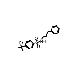 CCC(C)(C)c1ccc(S(=O)(=O)NCCCc2ccccc2)cc1